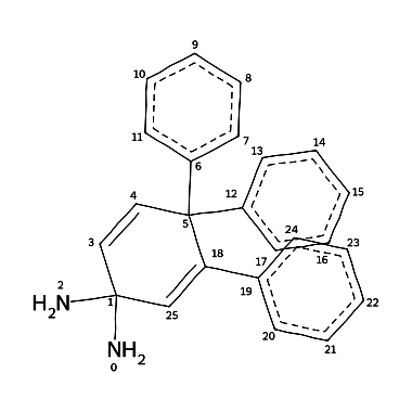 NC1(N)C=CC(c2ccccc2)(c2ccccc2)C(c2ccccc2)=C1